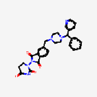 O=C1CCN(N2C(=O)c3ccc(CN4CCN(C(c5ccccc5)c5cccnc5)CC4)cc3C2=O)C(=O)N1